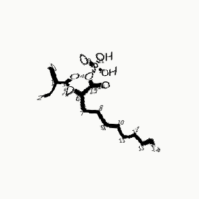 C=C(C)C(=O)OC(CCCCCCCC)C(=O)OP(=O)(O)O